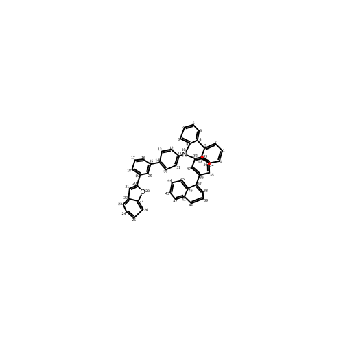 c1ccc(-c2ccccc2N(c2ccc(-c3cccc(-c4cc5ccccc5o4)c3)cc2)c2cccc(-c3cccc4ccccc34)c2)cc1